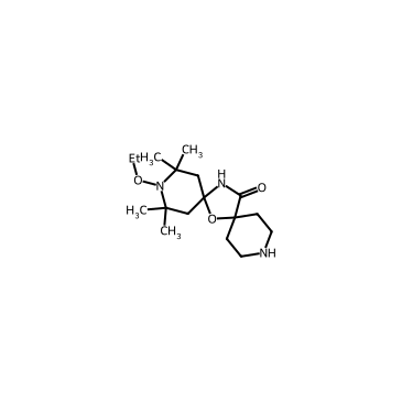 CCON1C(C)(C)CC2(CC1(C)C)NC(=O)C1(CCNCC1)O2